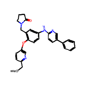 COCc1ccc(Oc2ccc(Nc3ccc(-c4ccccc4)cn3)cc2CN2CCCC2=O)cn1